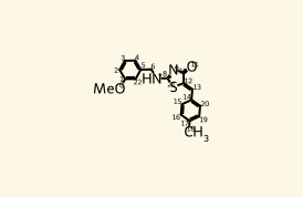 COc1cccc(CNC2=NC(=O)C(=Cc3ccc(C)cc3)S2)c1